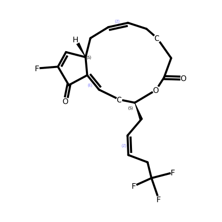 O=C1CCC/C=C\C[C@H]2C=C(F)C(=O)/C2=C/C[C@H](C/C=C\CC(F)(F)F)O1